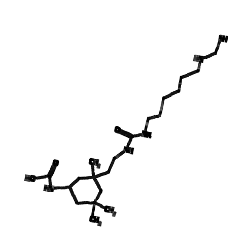 CC1(C)CC(NC(=O)O)CC(C)(CCNC(=O)NCCCCCCNCS)C1